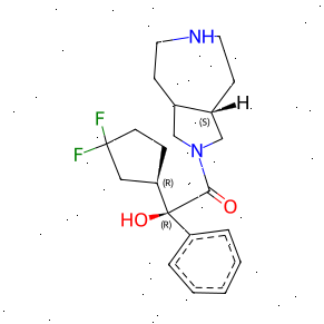 O=C(N1CC2CCNCC[C@@H]2C1)[C@](O)(c1ccccc1)[C@@H]1CCC(F)(F)C1